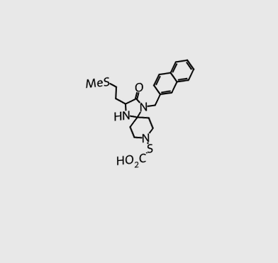 CSCCC1NC2(CCN(SC(=O)O)CC2)N(Cc2ccc3ccccc3c2)C1=O